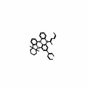 C/C=C\C=C(/C)N1c2ccccc2B2c3cccc4c3N(c3cc(C(/C=C\C)=C/C)cc1c32)C1(C)CCCCC41C